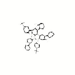 CC(C)(C)c1ccc(N2B3c4cc5c(cc4-n4c6ccc(C(C)(C)C)cc6c6c7sc8ccccc8c7c(c3c64)-c3cc4c(cc32)sc2ccccc24)sc2ccccc25)cc1